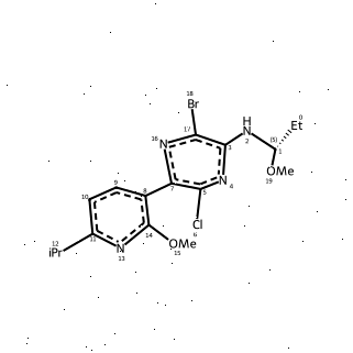 CC[C@@H](Nc1nc(Cl)c(-c2ccc(C(C)C)nc2OC)nc1Br)OC